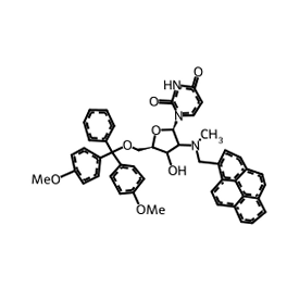 COc1ccc(C(OC[C@H]2O[C@@H](n3ccc(=O)[nH]c3=O)C(N(C)Cc3ccc4ccc5cccc6ccc3c4c56)C2O)(c2ccccc2)c2ccc(OC)cc2)cc1